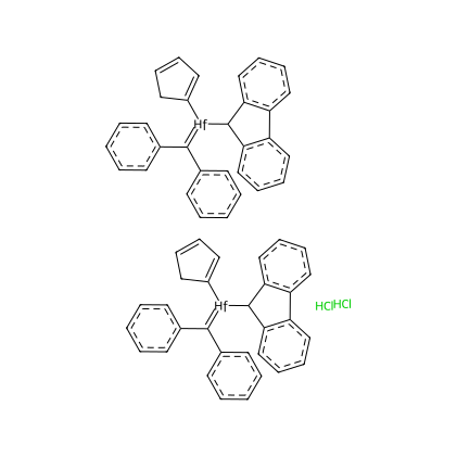 C1=CC[C]([Hf](=[C](c2ccccc2)c2ccccc2)[CH]2c3ccccc3-c3ccccc32)=C1.C1=CC[C]([Hf](=[C](c2ccccc2)c2ccccc2)[CH]2c3ccccc3-c3ccccc32)=C1.Cl.Cl